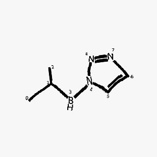 CC(C)Bn1ccnn1